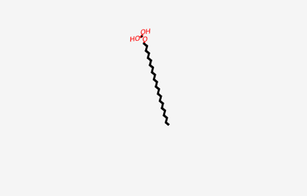 CCCCCCCCCCCCCCCCCCCCCCCCOC(O)O